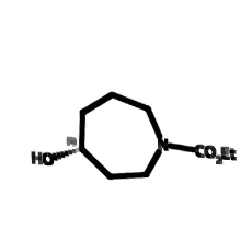 CCOC(=O)N1CCC[C@@H](O)CC1